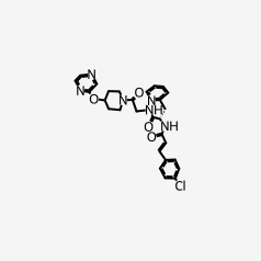 O=C(C=Cc1ccc(Cl)cc1)N[C@@H](Cc1ccccn1)C(=O)NCC(=O)N1CCC(Oc2cnccn2)CC1